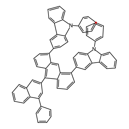 c1ccc(-c2cc(-c3c4cccc(-c5ccc6c(c5)c5ccccc5n6-c5ccccc5)c4cc4c(-c5ccc6c(c5)c5ccccc5n6-c5ccccc5)cccc34)cc3ccccc23)cc1